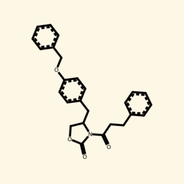 O=C(CCc1ccccc1)N1C(=O)OCC1Cc1ccc(OCc2ccccc2)cc1